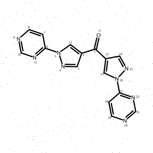 O=C(c1cnn(-c2ccncn2)c1)c1cnn(-c2ccncn2)c1